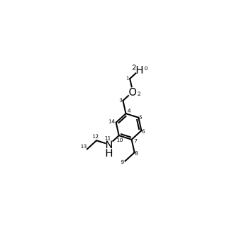 [2H]COCc1ccc(CC)c(NCC)c1